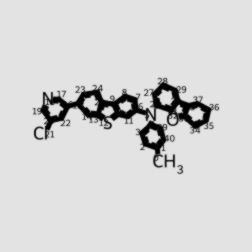 Cc1ccc(N(c2ccc3c(c2)sc2cc(-c4cncc(Cl)c4)ccc23)c2cccc3c2oc2ccccc23)cc1